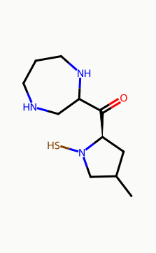 CC1C[C@H](C(=O)C2CNCCCN2)N(S)C1